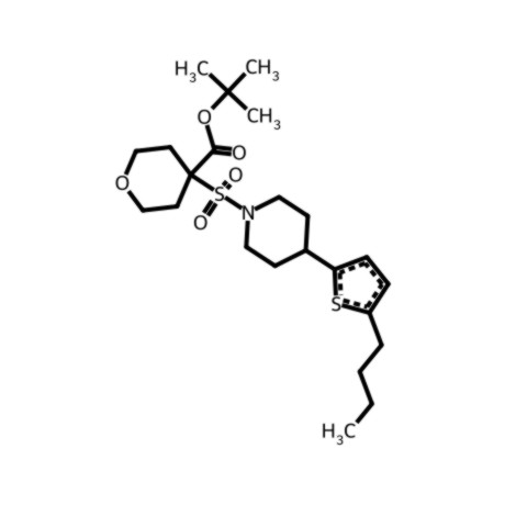 CCCCc1ccc(C2CCN(S(=O)(=O)C3(C(=O)OC(C)(C)C)CCOCC3)CC2)s1